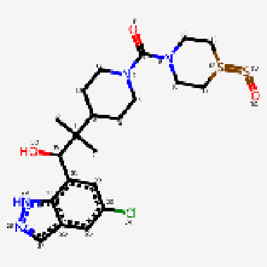 CC(C)(C1CCN(C(=O)N2CCS(=S=O)CC2)CC1)[C@H](O)c1cc(Cl)cc2cn[nH]c12